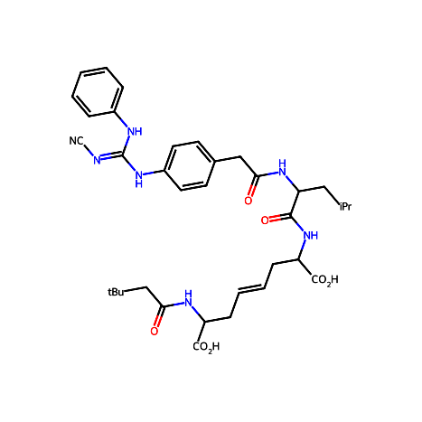 CC(C)CC(NC(=O)Cc1ccc(NC(=NC#N)Nc2ccccc2)cc1)C(=O)NC(CC=CCC(NC(=O)CC(C)(C)C)C(=O)O)C(=O)O